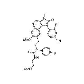 COCCNC(=O)C(CCc1cc2c(cc1OC)ncc1c2n(-c2ccc(C#N)cc2F)c(=O)n1C)c1ccc(F)cc1